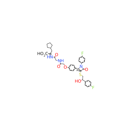 O=C(COc1ccc([C@@H]2[C@@H](SCC(O)c3ccc(F)cc3)C(=O)N2c2ccc(F)cc2)cc1)NCC(=O)N[C@H](CC1CCCC1)C(=O)O